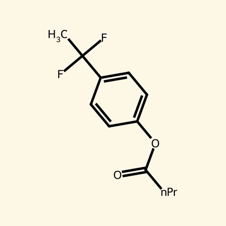 CCCC(=O)Oc1ccc(C(C)(F)F)cc1